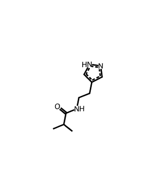 CC(C)C(=O)NCCc1cn[nH]c1